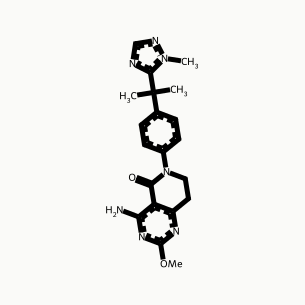 COc1nc(N)c2c(n1)CCN(c1ccc(C(C)(C)c3ncnn3C)cc1)C2=O